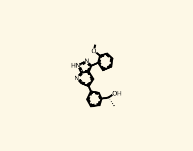 COc1ccccc1-c1n[nH]c2ncc(-c3cccc([C@@H](C)O)c3)cc12